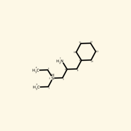 CC[SiH](CC)CC(N)CC1CCCCC1